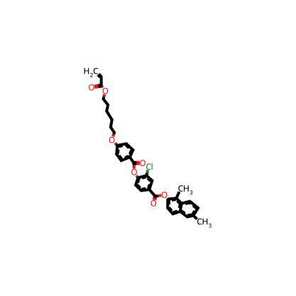 C=CC(=O)OCCCCCCOc1ccc(C(=O)Oc2ccc(C(=O)Oc3ccc4cc(C)ccc4c3C)cc2Cl)cc1